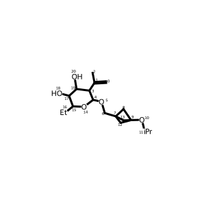 C=C(C)C1C(OCC23CC(OC(C)C)(C2)C3)OC(CC)C(O)C1O